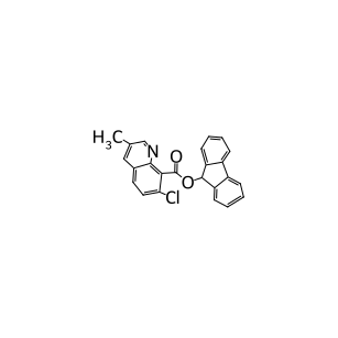 Cc1cnc2c(C(=O)OC3c4ccccc4-c4ccccc43)c(Cl)ccc2c1